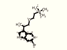 CC(COCC[Si](C)(C)C)c1c[nH]c2cc(Br)ncc12